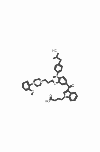 COc1ccccc1N1CCN(CCCOc2cc(C(=O)c3cn(CCCC(=O)O)c4ccccc34)ccc2N(C)c2ccc(CC(C)C)cc2)CC1.Cl